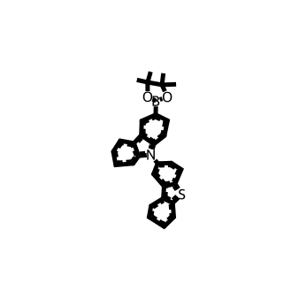 CC1(C)OB(c2ccc3c(c2)c2ccccc2n3-c2ccc3sc4ccccc4c3c2)OC1(C)C